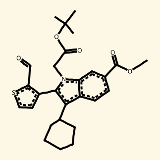 COC(=O)c1ccc2c(C3CCCCC3)c(-c3ccsc3C=O)n(CC(=O)OC(C)(C)C)c2c1